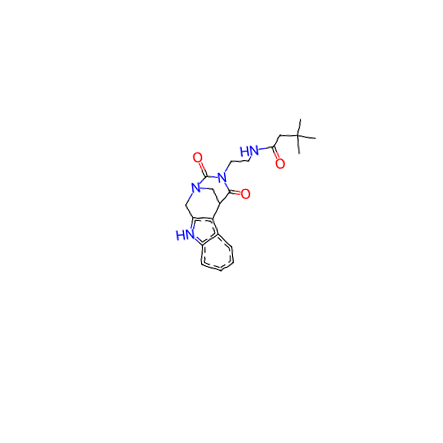 CC(C)(C)CC(=O)NCCN1C(=O)C2CN(Cc3[nH]c4ccccc4c32)C1=O